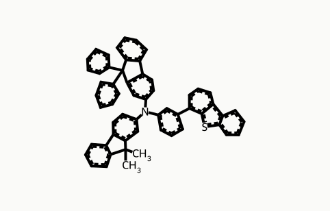 CC1(C)c2ccccc2-c2ccc(N(c3cccc(-c4cccc5c4sc4ccccc45)c3)c3ccc4c(c3)C(c3ccccc3)(c3ccccc3)c3ccccc3-4)cc21